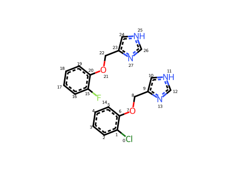 Clc1ccccc1OCc1c[nH]cn1.Fc1ccccc1OCc1c[nH]cn1